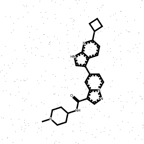 CN1CCC(NC(=O)c2cnn3ccc(-c4c[nH]c5nc(C6CCC6)ccc45)cc23)CC1